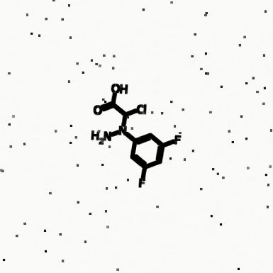 NN(c1cc(F)cc(F)c1)C(Cl)C(=O)O